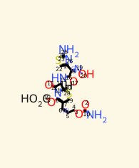 NC(=O)OC/C=C\C1=C(OC(=O)O)N2C(=O)C(NC(=O)/C(=N\O)c3csc(N)n3)[C@@H]2SC1